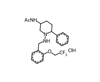 CC(=O)NC1CCC(c2ccccc2)N(NCc2ccccc2OCC(F)(F)F)C1.Cl